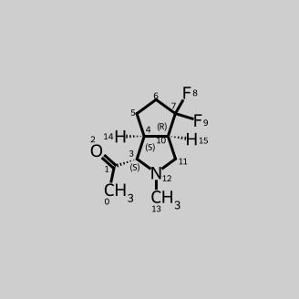 CC(=O)[C@@H]1[C@H]2CCC(F)(F)[C@H]2CN1C